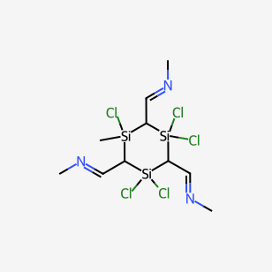 CN=CC1[Si](C)(Cl)C(C=NC)[Si](Cl)(Cl)C(C=NC)[Si]1(Cl)Cl